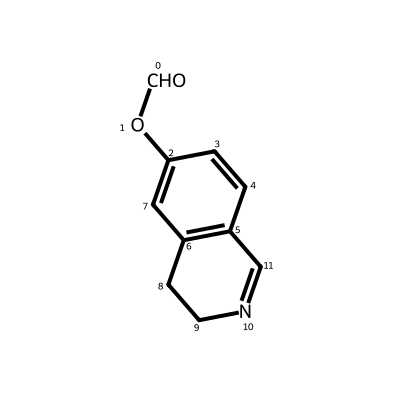 O=COc1ccc2c(c1)CCN=C2